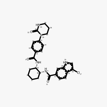 O=C(N[C@H]1CCCC[C@H]1NC(=O)c1ccc2c(Cl)c[nH]c2c1)c1ccc(N2CCCNC2=O)cc1